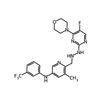 Cc1cc(Nc2cccc(C(F)(F)F)c2)cnc1CNNc1ncc(F)c(N2CCOCC2)n1